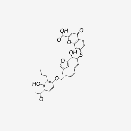 CCCc1c(OCC/C=C\C=C\[C@H](Sc2ccc3c(=O)cc(C(=O)O)oc3c2)[C@H](O)c2cc(C)co2)ccc(C(C)=O)c1O